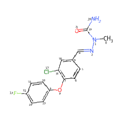 CN(N=Cc1ccc(Oc2ccc(F)cc2)c(Cl)c1)C(N)=O